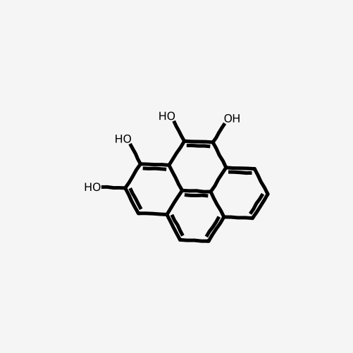 Oc1cc2ccc3cccc4c(O)c(O)c(c1O)c2c34